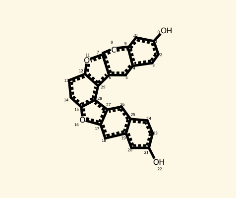 Oc1ccc2cc3c(cc2c1)oc1ccc2oc4cc5cc(O)ccc5cc4c2c13